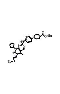 CCO/C=C/c1c(C)c2cnc(Nc3ccc(N4CCN(C(=O)OC(C)(C)C)CC4)cn3)nc2n(C2CCCC2)c1=O